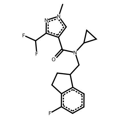 Cn1cc(C(=O)N(CC2CCc3c(F)cccc32)C2CC2)c(C(F)F)n1